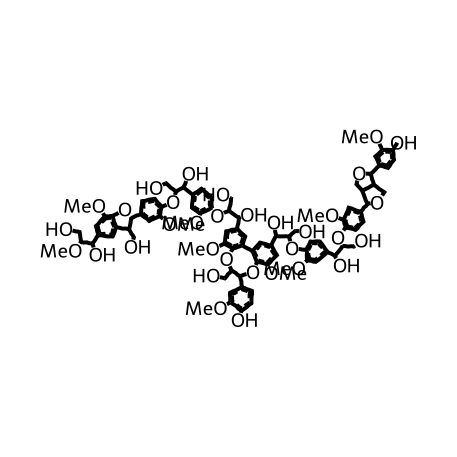 COc1cc(C2Oc3c(OC)cc(C(O)C(CO)Oc4ccc(C(O)C(CO)Oc5ccc(C6OCC7C(c8ccc(O)c(OC)c8)OCC67)cc5OC)cc4OC)cc3-c3cc(C(O)C(CO)Oc4ccc(C(O)C(CO)Oc5ccc(C6Oc7c(OC)cc(C(O)C(CO)OC)cc7C6CO)cc5OC)cc4OC)cc(OC)c3OC2CO)ccc1O